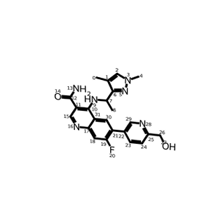 Cc1cn(C)nc1C(C)Nc1c(C(N)=O)cnc2cc(F)c(-c3ccc(CO)nc3)cc12